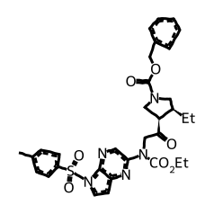 CCOC(=O)N(CC(=O)[C@H]1CN(C(=O)OCc2ccccc2)C[C@H]1CC)c1cnc2c(ccn2S(=O)(=O)c2ccc(C)cc2)n1